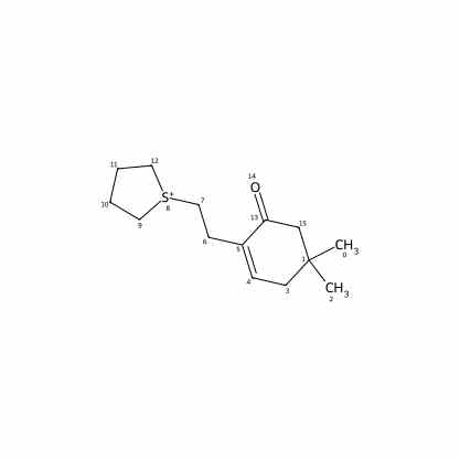 CC1(C)CC=C(CC[S+]2CCCC2)C(=O)C1